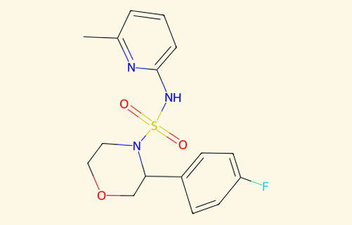 Cc1cccc(NS(=O)(=O)N2CCOCC2c2ccc(F)cc2)n1